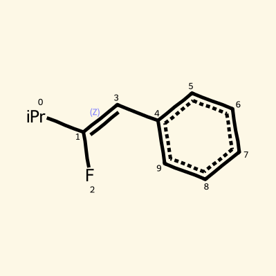 CC(C)/C(F)=C/c1ccccc1